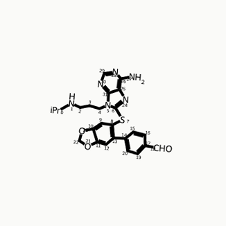 CC(C)NCCCn1c(Sc2cc3c(cc2-c2ccc(C=O)cc2)OCO3)nc2c(N)ncnc21